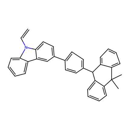 C=Cn1c2ccccc2c2cc(-c3ccc(C4c5ccccc5C(C)(C)c5ccccc54)cc3)ccc21